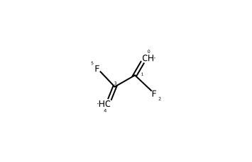 [CH]=C(F)C(=[CH])F